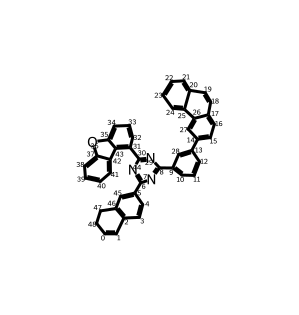 C1=Cc2ccc(-c3nc(-c4cccc(-c5ccc6ccc7ccccc7c6c5)c4)nc(-c4cccc5oc6ccccc6c45)n3)cc2CC1